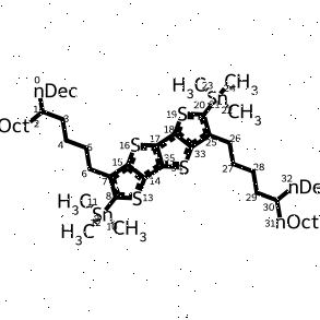 CCCCCCCCCCC(CCCCCCCC)CCCCc1[c]([Sn]([CH3])([CH3])[CH3])sc2c1sc1c3s[c]([Sn]([CH3])([CH3])[CH3])c(CCCCC(CCCCCCCC)CCCCCCCCCC)c3sc21